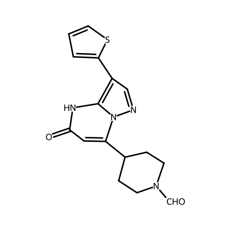 O=CN1CCC(c2cc(=O)[nH]c3c(-c4cccs4)cnn23)CC1